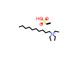 C=CS(=O)(=O)O.CCCCCCCCCC[N+](CC)(CC)CC